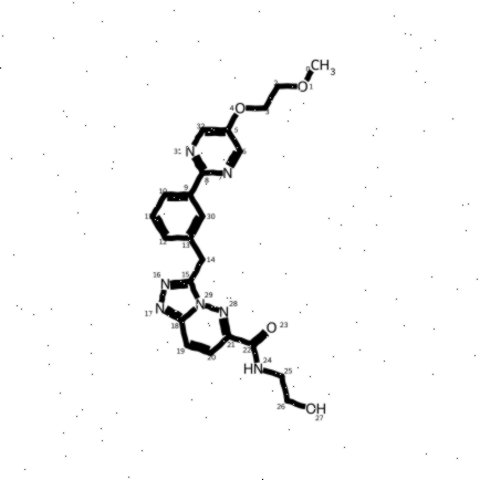 COCCOc1cnc(-c2cccc(Cc3nnc4ccc(C(=O)NCCO)nn34)c2)nc1